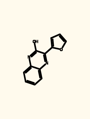 Oc1nc2ccccc2nc1-c1ccco1